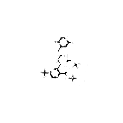 CC(C)(C)NC(=O)c1ccc(C(F)(F)F)nc1C[C@H](O)[C@@H](Cc1cc(F)ccc1F)NC(=O)OC(C)(C)C